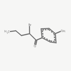 CCCC(Br)C(=O)c1ccc(O)cc1